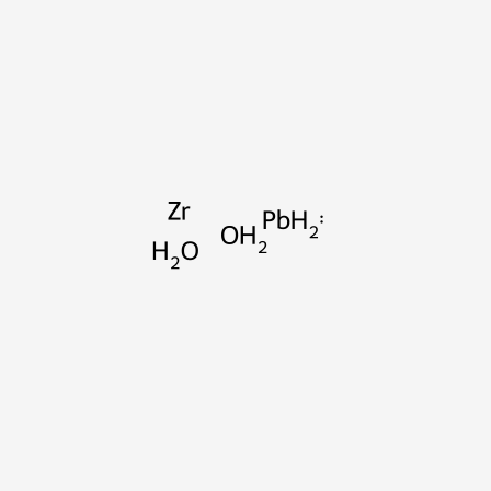 O.O.[PbH2].[Zr]